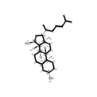 CC(C)CCCC(C)[C@H]1C[C@H](O)[C@H]2[C@@H]3CCC4C[C@@H](O)CC[C@]4(C)[C@H]3CC[C@@]21C